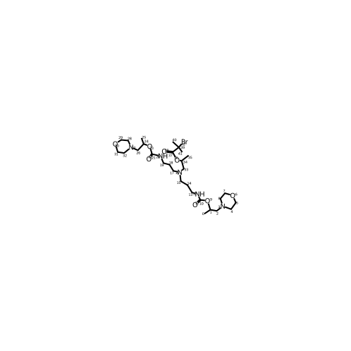 CC(CN1CCOCC1)OC(=O)NCCCN(CCCNC(=O)OC(C)CN1CCOCC1)CC(C)OC(=O)C(C)(C)Br